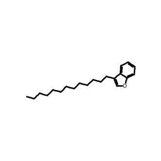 CCCCCCCCCCCCCc1coc2ccccc12